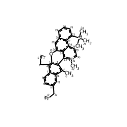 Cc1c2c(c(CC(C)C)c3ccc(CC(C)C)cc13)Oc1cc3cccc([Si](C)(C)C)c3c3cc[n+](C)c-2c13